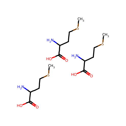 CSCCC(N)C(=O)O.CSCCC(N)C(=O)O.CSCCC(N)C(=O)O